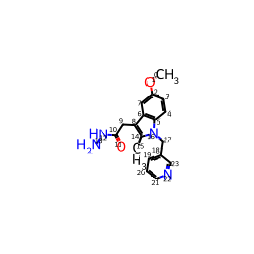 COc1ccc2c(c1)c(CC(=O)NN)c(C)n2Cc1cccnc1